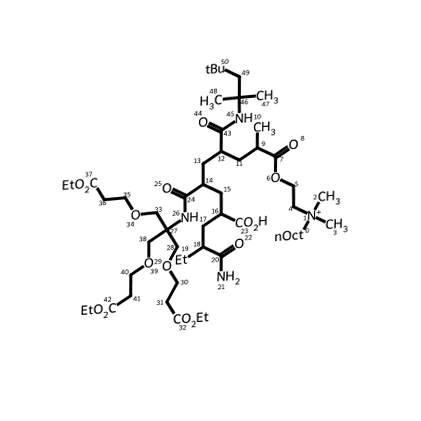 CCCCCCCC[N+](C)(C)CCOC(=O)C(C)CC(CC(CC(CC(CC)C(N)=O)C(=O)O)C(=O)NC(COCCC(=O)OCC)(COCCC(=O)OCC)COCCC(=O)OCC)C(=O)NC(C)(C)CC(C)(C)C